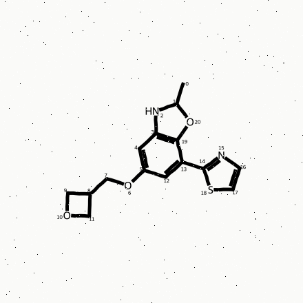 CC1Nc2cc(OCC3COC3)cc(-c3nccs3)c2O1